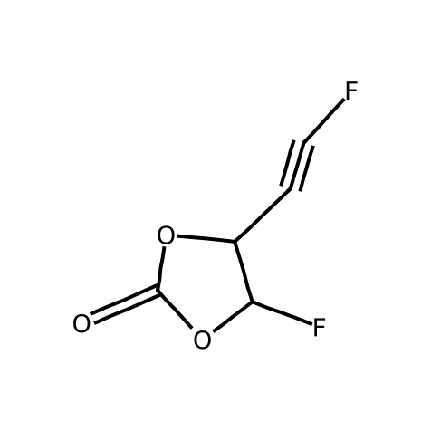 O=C1OC(F)C(C#CF)O1